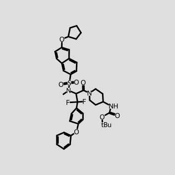 CN(C(C(=O)N1CCC(NC(=O)OC(C)(C)C)CC1)C(F)(F)c1ccc(Oc2ccccc2)cc1)S(=O)(=O)c1ccc2cc(OC3CCCC3)ccc2c1